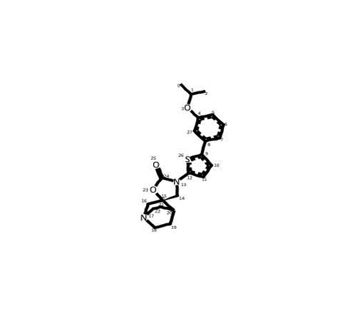 CC(C)Oc1cccc(-c2ccc(N3C[C@@]4(CN5CCC4CC5)OC3=O)s2)c1